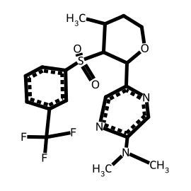 CC1CCOC(c2cnc(N(C)C)cn2)C1S(=O)(=O)c1cccc(C(F)(F)F)c1